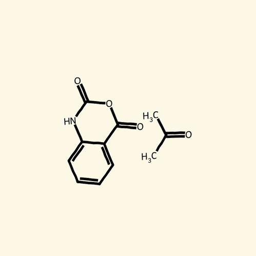 CC(C)=O.O=c1[nH]c2ccccc2c(=O)o1